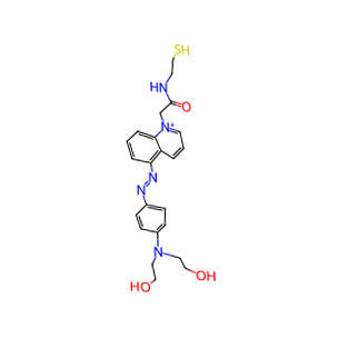 O=C(C[n+]1cccc2c(/N=N/c3ccc(N(CCO)CCO)cc3)cccc21)NCCS